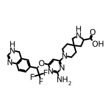 Nc1nc(O[C@H](c2ccc3c(c2)CNC=N3)C(F)(F)F)cc(N2CCC3(CC2)CNC(C(=O)O)C3)n1